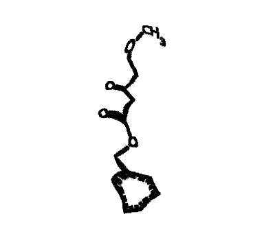 COCC(=O)CC(=O)OCc1ccccc1